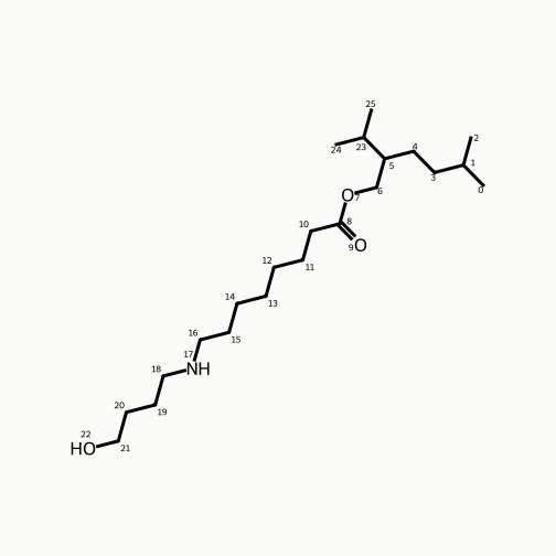 CC(C)CCC(COC(=O)CCCCCCCNCCCCO)C(C)C